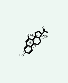 CC(=O)[C@@]1(O)CC[C@H]2[C@@H]3C(O)=CC4=C[C@@H](O)C=C[C@]4(C)[C@H]3CC[C@@]21C